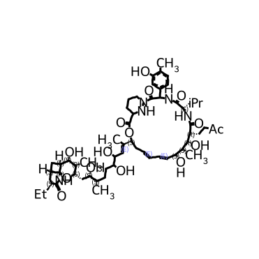 CC[C@H]1C[C@@H]2C[C@H]3[C@@H](O)[C@@H](C)[C@H](C[C@H](O)[C@@H](C)CCC(O)C(O)/C=C(\C)[C@@H]4C/C=C/C=C/[C@H](O)[C@H](C)[C@@H](O)[C@@H](CCC(C)=O)C(=O)N[C@@H](C(C)C)C(=O)NC(c5ccc(C)c(O)c5)C(=O)N5CCCC(N5)C(=O)O4)O[C@]23NC1=O